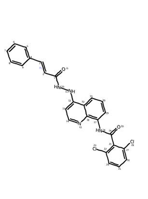 O=C(/C=C/c1ccccc1)NNc1ccnc2c(NC(=O)c3c(Cl)cccc3Cl)cccc12